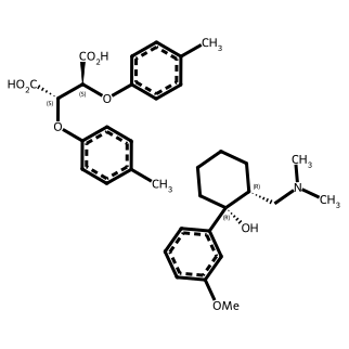 COc1cccc([C@@]2(O)CCCC[C@@H]2CN(C)C)c1.Cc1ccc(O[C@H](C(=O)O)[C@H](Oc2ccc(C)cc2)C(=O)O)cc1